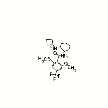 COc1cc(C(F)(F)F)cc(SC)c1C(=O)N[C@H]1CCCC[C@H]1NC1CCC1